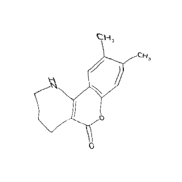 Cc1cc2oc(=O)c3c(c2cc1C)NCCC3